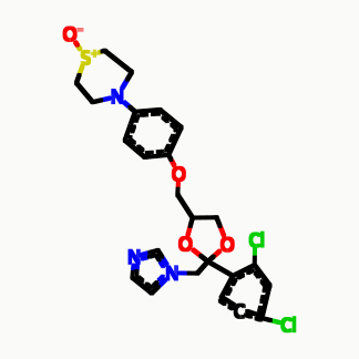 [O-][S+]1CCN(c2ccc(OCC3COC(Cn4ccnc4)(c4ccc(Cl)cc4Cl)O3)cc2)CC1